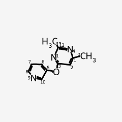 Cc1cc(Oc2cccnc2)nc(C)n1